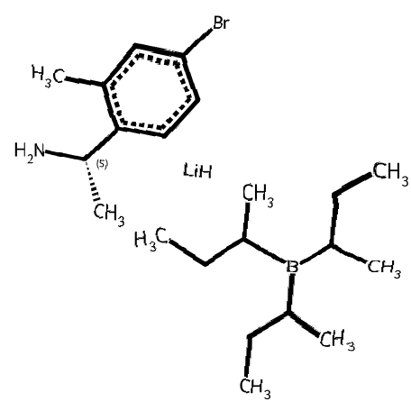 CCC(C)B(C(C)CC)C(C)CC.Cc1cc(Br)ccc1[C@H](C)N.[LiH]